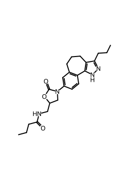 CCCC(=O)NCC1CN(c2ccc3c(c2)CCCc2c(CCC)n[nH]c2-3)C(=O)O1